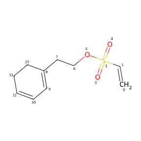 C=CS(=O)(=O)OCCC1=CC=CCC1